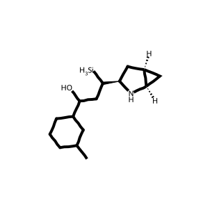 CC1CCCC(C(O)CC([SiH3])[C@H]2C[C@H]3C[C@H]3N2)C1